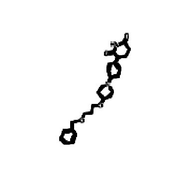 O=C1CCC(c2ccc(N3CCC(OCCCOCc4ccccc4)CC3)cc2)C(=O)N1